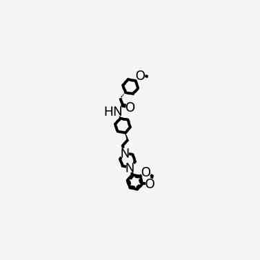 CO[C@H]1CC[C@H](CC(=O)N[C@H]2CC[C@H](CCN3CCN(c4cccc5c4OCO5)CC3)CC2)CC1